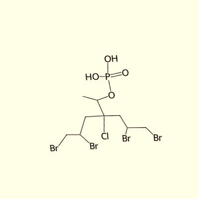 CC(OP(=O)(O)O)C(Cl)(CC(Br)CBr)CC(Br)CBr